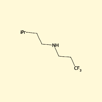 CC(C)CCNCCC(F)(F)F